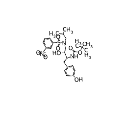 CC(C)CN(C[C@@H](O)[C@H](Cc1ccc(O)cc1)NC(=O)OC(C)(C)C)S(=O)(=O)c1cccc([N+](=O)[O-])c1